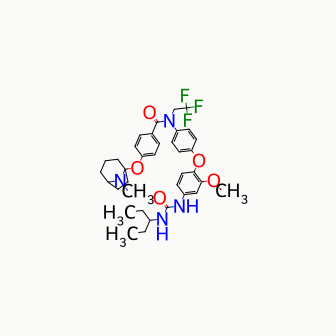 CCC(CC)NC(=O)Nc1ccc(Oc2ccc(N(CC(F)(F)F)C(=O)c3ccc(OC45CCCC(CC4)N5C)cc3)cc2)c(OC)c1